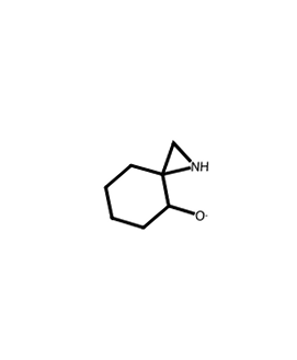 [O]C1CCCCC12CN2